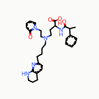 CC(C(=O)NC(CCN(CCCCc1ccc2c(n1)NCCC2)CCn1ccccc1=O)C(=O)O)c1ccccc1